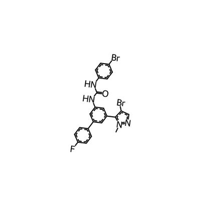 Cn1ncc(Br)c1-c1cc(NC(=O)Nc2ccc(Br)cc2)cc(-c2ccc(F)cc2)c1